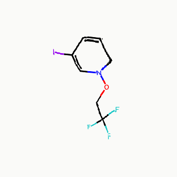 FC(F)(F)CON1C=C(I)C=[C]C1